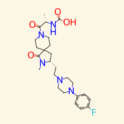 C[C@H](NC(=O)O)C(=O)N1CCC2(CC1)C[C@H](CCN1CCN(c3ccc(F)cc3)CC1)N(C)C2=O